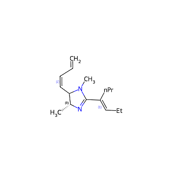 C=C/C=C\C1[C@@H](C)N=C(/C(=C/CC)CCC)N1C